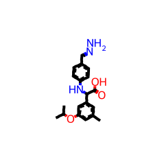 Cc1cc(OC(C)C)cc(C(Nc2ccc(C=NN)cc2)C(=O)O)c1